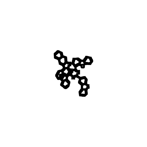 c1ccc2cc3c(cc2c1)c1c2ccccc2ccc1n3-c1ccc2c(oc3ccccc32)c1-c1nc(-c2ccc3sc4ccccc4c3c2)nc(-c2cccc3ccccc23)n1